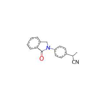 CC(C#N)c1ccc(N2Cc3ccccc3C2=O)cc1